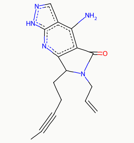 C=CCN1C(=O)c2c(nc3[nH]ncc3c2N)C1CCC#CC